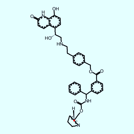 O=C(NC(c1ccccc1)c1cccc(C(=O)OCc2ccc(CCNC[C@H](O)c3ccc(O)c4[nH]c(=O)ccc34)cc2)c1)O[C@H]1CN2CCC1CC2